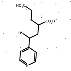 O=C(O)CCC(CC(S)c1ccncc1)C(=O)O